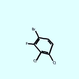 Fc1c(Br)ccc(Cl)c1Cl